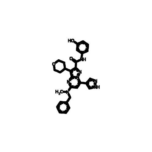 CN(Cc1ccccc1)c1cc(-c2cn[nH]c2)n2nc(C(=O)Nc3cccc(O)c3)c(C3CCOCC3)c2n1